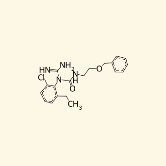 CCc1cccc(Cl)c1N(C(=N)N)C(=O)NCCOCc1ccccc1